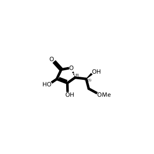 COC[C@H](O)[C@H]1OC(=O)C(O)=C1O